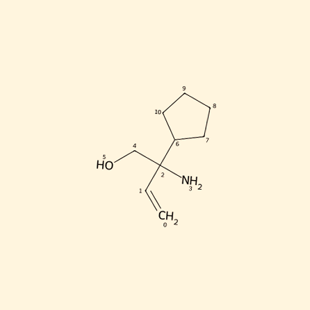 C=CC(N)(CO)C1CCCC1